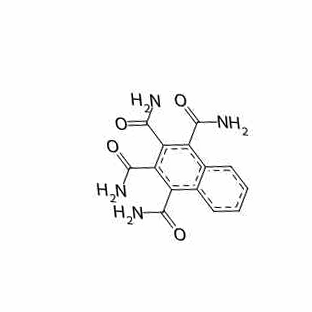 NC(=O)c1c(C(N)=O)c(C(N)=O)c2ccccc2c1C(N)=O